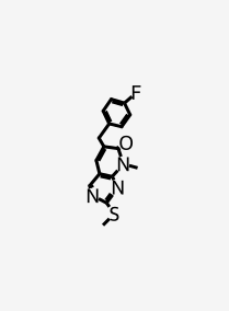 CSc1ncc2cc(Cc3ccc(F)cc3)c(=O)n(C)c2n1